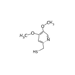 COc1cnc(CS)cc1OC